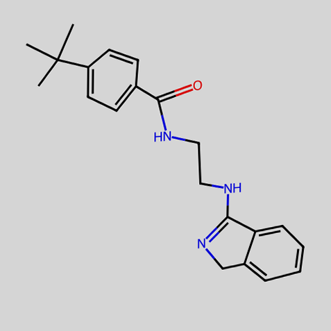 CC(C)(C)c1ccc(C(=O)NCCNC2=NCc3ccccc32)cc1